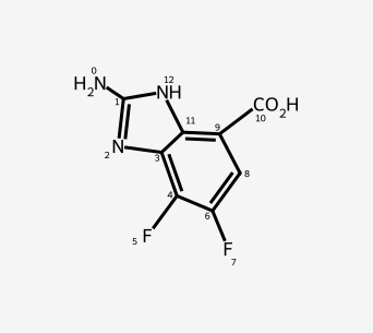 Nc1nc2c(F)c(F)cc(C(=O)O)c2[nH]1